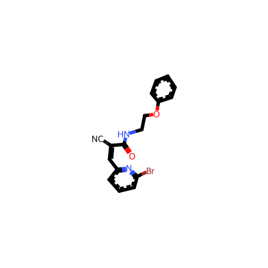 N#CC(=Cc1cccc(Br)n1)C(=O)NCCOc1ccccc1